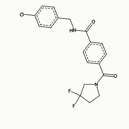 O=C(NCc1ccc(Cl)cc1)c1ccc(C(=O)N2CCC(F)(F)C2)cc1